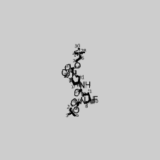 CC(C)(C)OC(=O)N1C[C@@H](F)C[C@H]1C(=O)N[C@@H]1C[C@H](CO)N(C(=O)OCC[Si](C)(C)C)C1